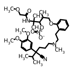 COCC(=O)NC(C)(C)C(O[N+](=O)[O-])C(C)COc1ccccc1CCN(C)CCCC(C#N)(c1ccc(OC)c(OC)c1)C(C)C